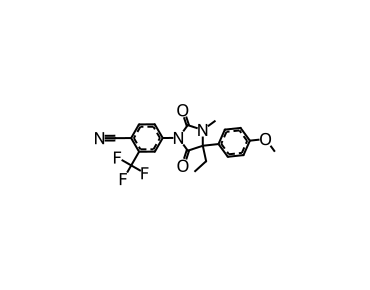 CCC1(c2ccc(OC)cc2)C(=O)N(c2ccc(C#N)c(C(F)(F)F)c2)C(=O)N1C